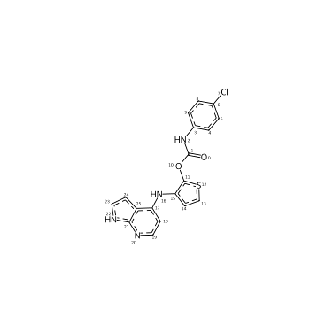 O=C(Nc1ccc(Cl)cc1)Oc1sccc1Nc1ccnc2[nH]ccc12